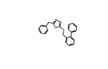 c1ccc(Cc2nnc(SCc3ccccc3-c3ccccc3)o2)cc1